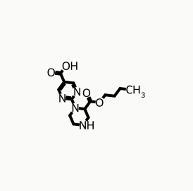 CCCCOC(=O)C1CNCCN1c1ncc(C(=O)O)cn1